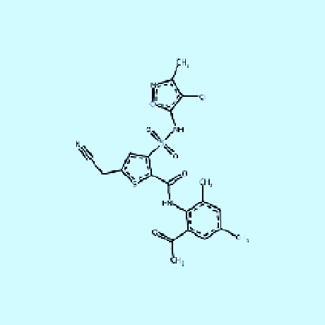 CC(=O)c1cc(C)cc(C)c1NC(=O)c1sc(CC#N)cc1S(=O)(=O)Nc1onc(C)c1Cl